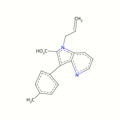 C=CCn1c(C(=O)O)c(-c2ccc(C)cc2)c2ncccc21